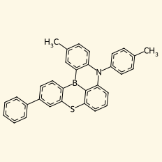 Cc1ccc(N2c3ccc(C)cc3B3c4ccc(-c5ccccc5)cc4Sc4cccc2c43)cc1